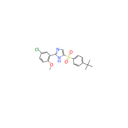 COc1ccc(Cl)cc1-c1ncc(S(=O)(=O)c2ccc(C(C)(C)C)cc2)[nH]1